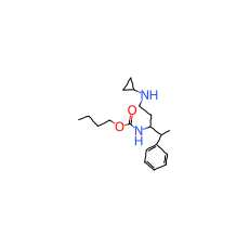 CCCCOC(=O)NC(CCNC1CC1)C(C)c1ccccc1